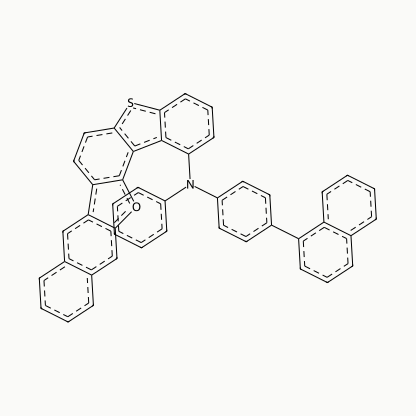 c1ccc(N(c2ccc(-c3cccc4ccccc34)cc2)c2cccc3sc4ccc5c6cc7ccccc7cc6oc5c4c23)cc1